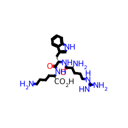 N=C(N)NCCC[C@@H](N)C(=O)N[C@@H](Cc1c[nH]c2ccccc12)C(=O)N[C@@H](CCCCN)C(=O)O